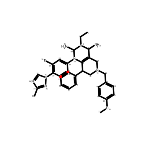 CCN1C(N)C2=C(C(c3ccccc3)CN(Cc3ccc(OC)cc3)C2)N(c2ccc(-n3cnc(C)n3)c(F)c2)C1N